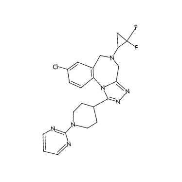 FC1(F)CC1N1Cc2cc(Cl)ccc2-n2c(nnc2C2CCN(c3ncccn3)CC2)C1